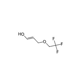 OC=CCOCC(F)(F)F